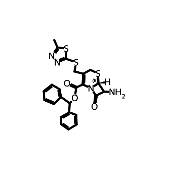 Cc1nnc(SCC2=C(C(=O)OC(c3ccccc3)c3ccccc3)N3C(=O)C(N)[C@H]3SC2)s1